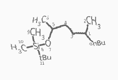 CCCCC(C)CCC(C)O[Si](C)(C)C(C)(C)C